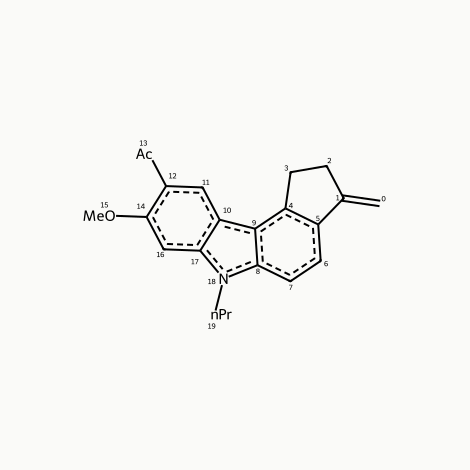 C=C1CCc2c1ccc1c2c2cc(C(C)=O)c(OC)cc2n1CCC